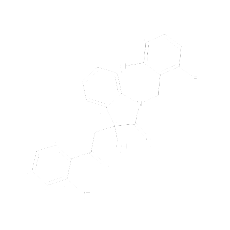 O=C(CC1(O)C(=O)N(Cc2c(F)cccc2Cl)c2ccccc21)c1ccccc1O